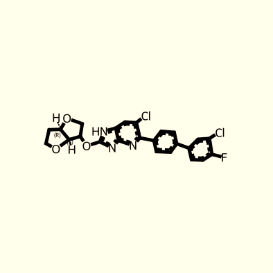 Fc1ccc(-c2ccc(-c3nc4nc(OC5CO[C@@H]6CCO[C@H]56)[nH]c4cc3Cl)cc2)cc1Cl